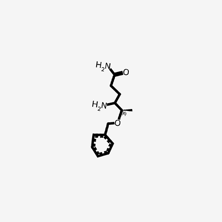 C[C@@H](OCc1ccccc1)C(N)CCC(N)=O